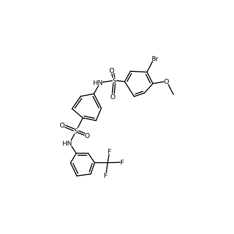 COc1ccc(S(=O)(=O)Nc2ccc(S(=O)(=O)Nc3cccc(C(F)(F)F)c3)cc2)cc1Br